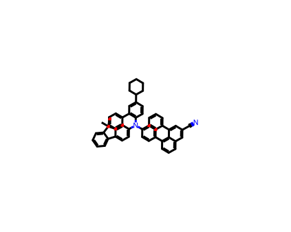 CC1(C)c2ccccc2-c2ccc(N(c3ccc(-c4cccc5cc(C#N)cc(-c6ccccc6)c45)cc3)c3ccc(C4CCCCC4)cc3-c3ccccc3)cc21